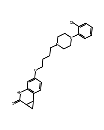 O=C1Nc2cc(OCCCCN3CCN(c4ccccc4Cl)CC3)ccc2C2CC12